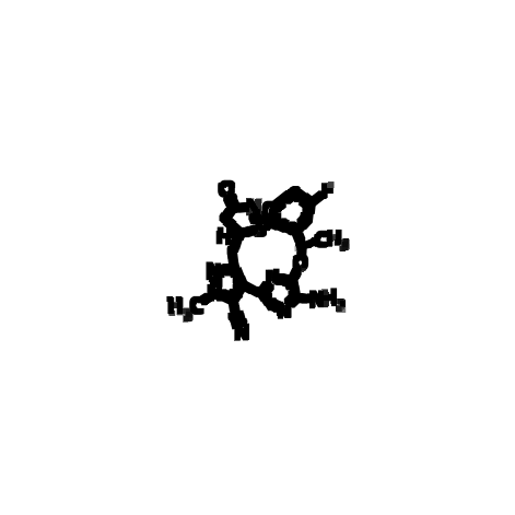 C[C@H]1Oc2nc(cnc2N)-c2c(nn(C)c2C#N)C[C@@H]2CC(=O)N=S2(=O)c2ccc(F)cc21